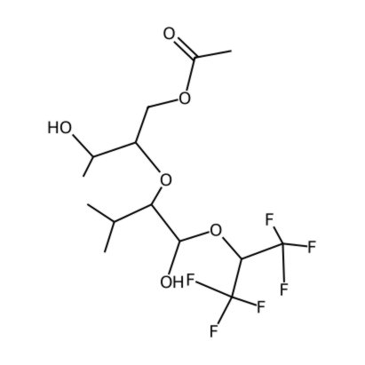 CC(=O)OCC(OC(C(C)C)C(O)OC(C(F)(F)F)C(F)(F)F)C(C)O